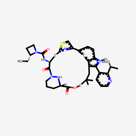 CCn1c(-c2cccnc2[C@H](C)OC)c2c3cc(ccc31)-c1csc(n1)C[C@H](NC(=O)N1CC[C@H]1CC#N)C(=O)N1CCC[C@H](N1)C(=O)OCC(C)(C)C2